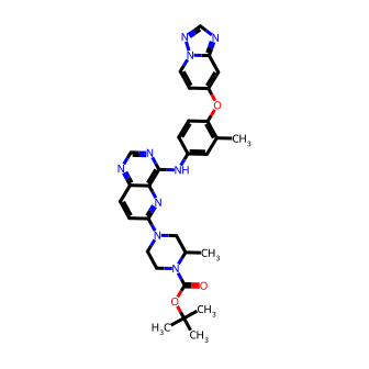 Cc1cc(Nc2ncnc3ccc(N4CCN(C(=O)OC(C)(C)C)C(C)C4)nc23)ccc1Oc1ccn2ncnc2c1